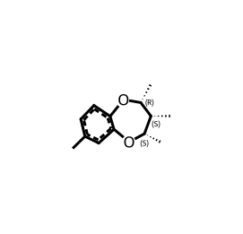 Cc1ccc2c(c1)O[C@@H](C)[C@@H](C)[C@@H](C)O2